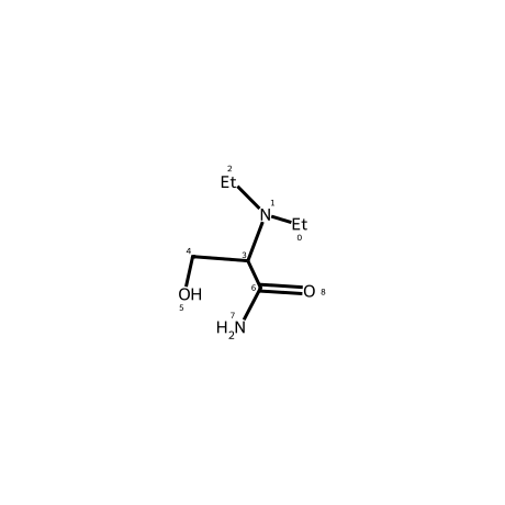 CCN(CC)C(CO)C(N)=O